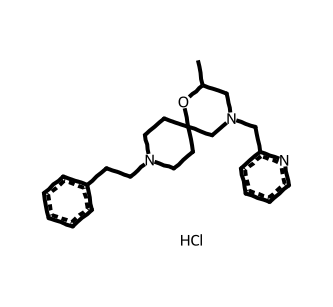 CC1CN(Cc2ccccn2)CC2(CCN(CCc3ccccc3)CC2)O1.Cl